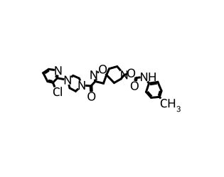 Cc1ccc(NC(=O)ON2CCC3(CC2)CC(C(=O)N2CCN(c4ncccc4Cl)CC2)=NO3)cc1